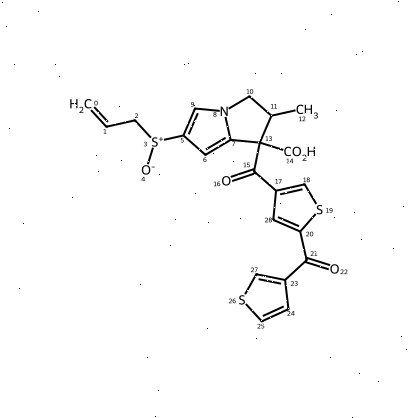 C=CC[S+]([O-])c1cc2n(c1)CC(C)C2(C(=O)O)C(=O)c1csc(C(=O)c2ccsc2)c1